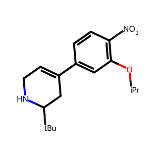 CC(C)Oc1cc(C2=CCNC(C(C)(C)C)C2)ccc1[N+](=O)[O-]